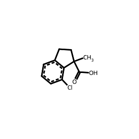 CC1(C(=O)O)CCc2cccc(Cl)c21